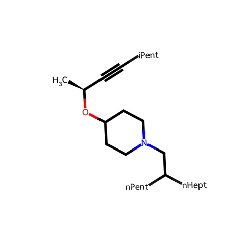 CCCCCCCC(CCCCC)CN1CCC(O[C@@H](C)C#CC(C)CCC)CC1